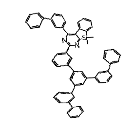 C[Si]1(C)c2ccccc2-c2c(-c3cccc(-c4ccccc4)c3)nc(-c3cccc(-c4cc(-c5cccc(-c6ccccc6)c5)cc(-c5cccc(-c6ccccc6)c5)c4)c3)nc21